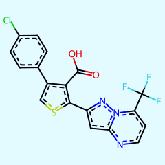 O=C(O)c1c(-c2ccc(Cl)cc2)csc1-c1cc2nccc(C(F)(F)F)n2n1